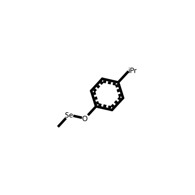 C[Se]Oc1ccc(C(C)C)cc1